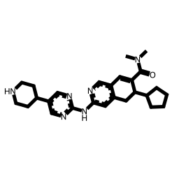 CN(C)C(=O)C1=Cc2cnc(Nc3ncc(C4CCNCC4)cn3)cc2CC1C1CCCC1